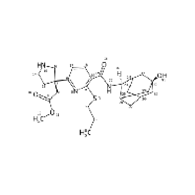 CCCSc1nc([C@]2(CC(=O)OC)CCNC2)ccc1C(=O)N[C@H]1C2CC3CC1C[C@@](O)(C3)C2